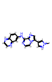 Cn1cc(-c2cnc3c(Nc4ccc5nccnc5c4)nccn23)cn1